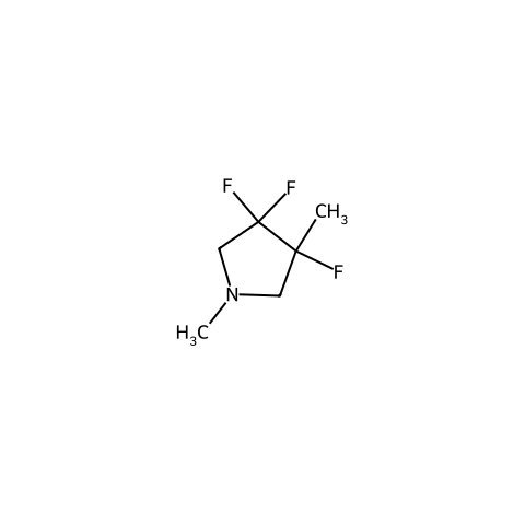 CN1CC(C)(F)C(F)(F)C1